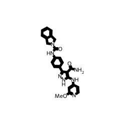 COc1cc(Nc2[nH]nc(-c3ccc(NC(=O)N4Cc5ccccc5C4)cc3)c2C(N)=O)ccn1